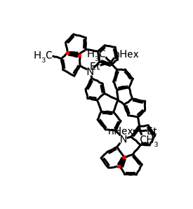 CCCCCCC(C)(CC)c1ccc2c(c1)C1(c3cc(N(c4ccccc4)c4ccccc4-c4ccccc4)ccc3-c3ccc(N(c4ccc(C)cc4)c4ccccc4-c4ccccc4)cc31)c1cc(C(C)(CC)CCCCCC)ccc1-2